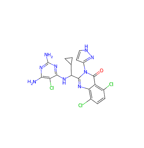 Nc1nc(N)c(Cl)c(NC(c2nc3c(Cl)ccc(Cl)c3c(=O)n2-c2cc[nH]n2)C2CC2)n1